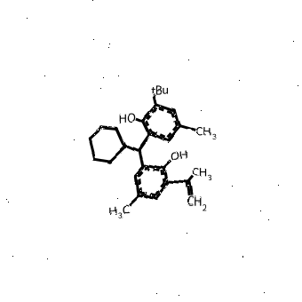 C=C(C)c1cc(C)cc(C(c2cc(C)cc(C(C)(C)C)c2O)C2CCCCC2)c1O